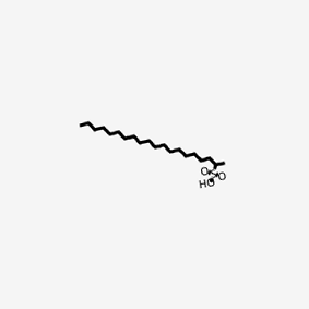 CCCCCCCCCCCCCCCCCCC(C)S(=O)(=O)O